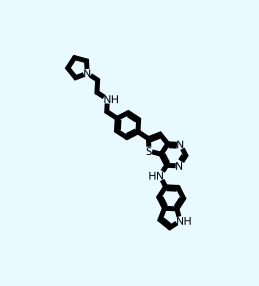 c1nc(Nc2ccc3[nH]ccc3c2)c2sc(-c3ccc(CNCCN4CCCC4)cc3)cc2n1